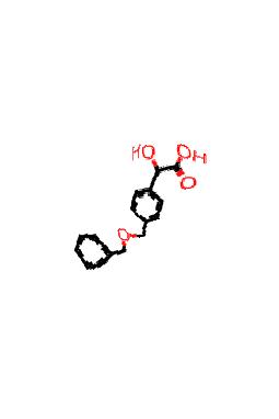 O=C(O)C(O)c1ccc(COCc2ccccc2)cc1